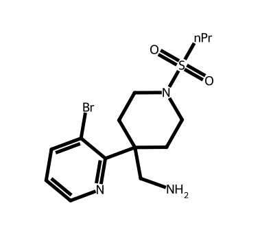 CCCS(=O)(=O)N1CCC(CN)(c2ncccc2Br)CC1